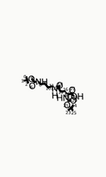 CC(C)(C)OC(=O)NCCCCNC(=O)CC[C@H](NC(=O)OC(C)(C)C)C(=O)O